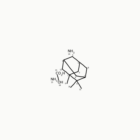 CC12CC3CC(CC(C3)C1(C)C)C2.N.N.O=C(O)O